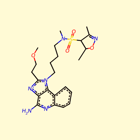 COCCc1nc2c(N)nc3ccccc3c2n1CCCCN(C)S(=O)(=O)C1C(C)=NOC1C